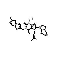 CC(C)=CCn1c(N2CCC3CNCC32)nc2c1c(=O)n(Cc1nc3cc(F)ccc3s1)c(=O)n2C.Cl